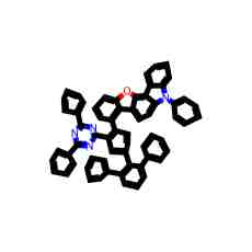 c1ccc(-c2nc(-c3ccccc3)nc(-c3cc(-c4c(-c5ccccc5)cccc4-c4ccccc4)ccc3-c3cccc4oc5c(ccc6c5c5ccccc5n6-c5ccccc5)c34)n2)cc1